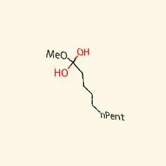 CCCCCCCCCC(O)(O)OC